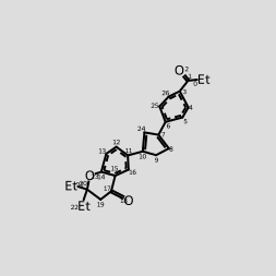 CCC(=O)c1ccc(C2=CCC(c3ccc4c(c3)C(=O)CC(CC)(CC)O4)=C2)cc1